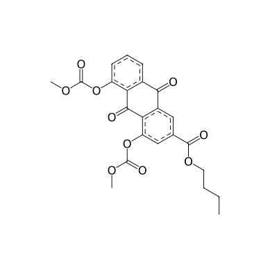 CCCCOC(=O)c1cc(OC(=O)OC)c2c(c1)C(=O)c1cccc(OC(=O)OC)c1C2=O